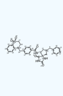 O=C1NC(=O)[C@@]2(CN(Cc3ccncc3)C[C@H]2NC(=O)c2ccc(CN3CCS(=O)(=O)c4ccccc43)cc2)N1